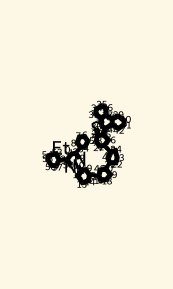 CCc1c(-c2ccccc2)nc(-c2cccc(-c3cccc(-c4cccc(-c5ccc6sc7c8ccccc8c8ccccc8c7c6c5)c4)c3)c2)nc1-c1ccccc1